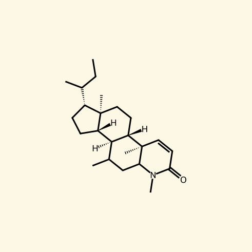 CCC(C)[C@H]1CC[C@H]2[C@@H]3C(C)CC4N(C)C(=O)C=C[C@]4(C)[C@H]3CC[C@]12C